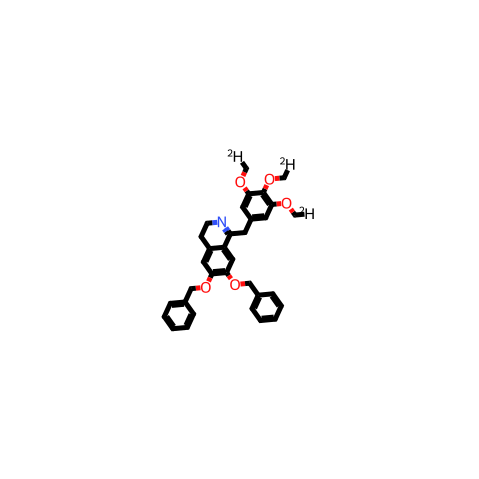 [2H]COc1cc(CC2=NCCc3cc(OCc4ccccc4)c(OCc4ccccc4)cc32)cc(OC[2H])c1OC[2H]